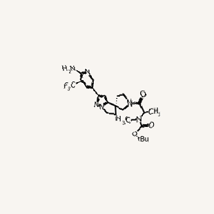 C[C@H](C(=O)N1CC[C@@]2(CCn3nc(-c4cnc(N)c(C(F)(F)F)c4)cc32)C1)N(C)C(=O)OC(C)(C)C